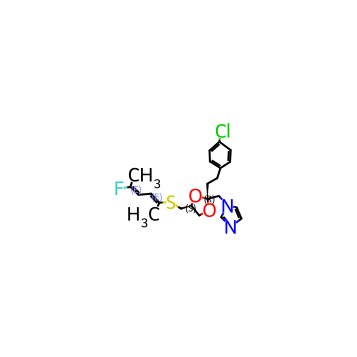 C/C(F)=C\C=C(/C)SC[C@@H]1CO[C@@](CCc2ccc(Cl)cc2)(Cn2ccnc2)O1